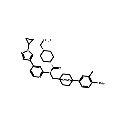 COc1ccc(C23CCC(CN(c4cc(-c5cnn(C6CC6)c5)ccn4)C(=O)[C@H]4CC[C@H](CC(=O)O)CC4)(CC2)CC3)cc1C